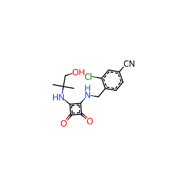 CC(C)(CO)Nc1c(NCc2ccc(C#N)cc2Cl)c(=O)c1=O